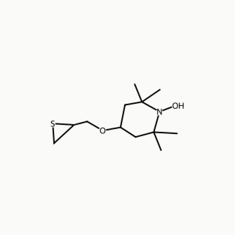 CC1(C)CC(OCC2CS2)CC(C)(C)N1O